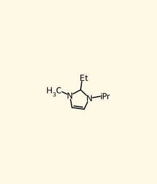 CCC1N(C)C=CN1C(C)C